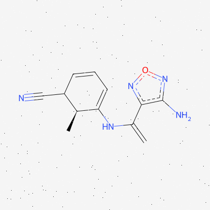 C=C(NC1=CC=CC(C#N)[C@@H]1C)c1nonc1N